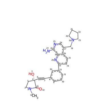 CN1CC[C@@](O)(C#Cc2cccc(-c3ccc4c(CN5CCCC5)cnc(N)c4n3)c2)C1=O